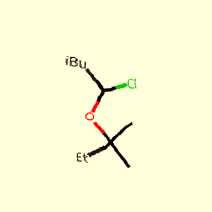 CCC(C)C(Cl)OC(C)(C)CC